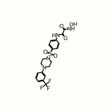 O=C(NO)C(=O)Nc1ccc(S(=O)(=O)N2CCN(c3cccc(C(F)(F)F)c3)CC2)cc1